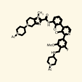 COc1cc(-c2nccc(-c3cccc(NC(=O)c4nc5c(n4C)CCN(C4CCN(C(C)=O)CC4)C5)c3Cl)c2Cl)cc(F)c1CNC1CCN(C(C)=O)CC1